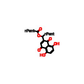 CCCCCC(=O)OC(CCCCC)C1=CC(=O)c2c(O)ccc(O)c2C1=O